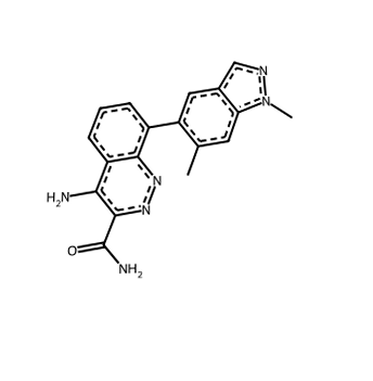 Cc1cc2c(cnn2C)cc1-c1cccc2c(N)c(C(N)=O)nnc12